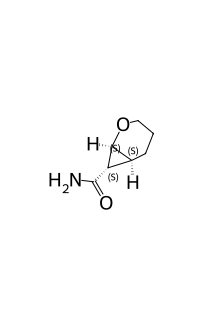 NC(=O)[C@H]1[C@@H]2CCCO[C@@H]21